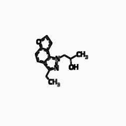 CCc1nn(CC(C)O)c2c1ccc1occc12